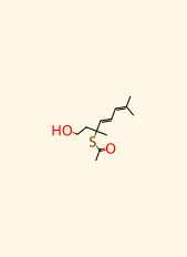 CC(=O)SC(C)(/C=C/C=C(C)C)CCO